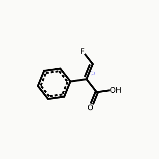 O=C(O)/C(=C/F)c1ccccc1